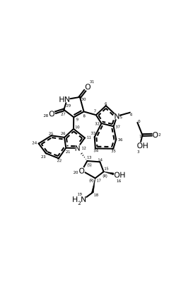 CC(=O)O.Cn1cc(C2=C(c3cn([C@@H]4C[C@@H](O)[C@@H](CN)O4)c4ccccc34)C(=O)NC2=O)c2ccccc21